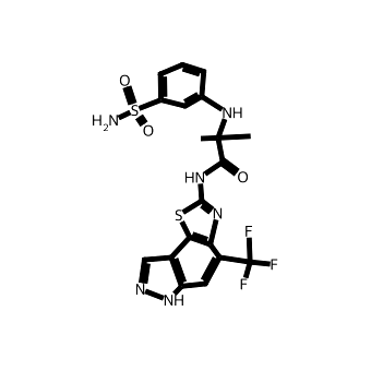 CC(C)(Nc1cccc(S(N)(=O)=O)c1)C(=O)Nc1nc2c(C(F)(F)F)cc3[nH]ncc3c2s1